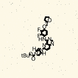 CC(C)(C)OC(=O)N1C[C@@H]2C[C@H]1CN2c1ccc2ncnc(Nc3ccc(OC[C@H]4CCCO4)c(F)c3F)c2n1